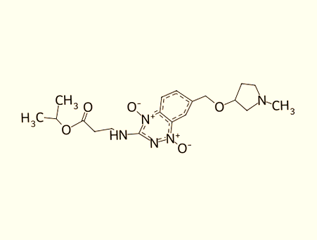 CC(C)OC(=O)CCNc1n[n+]([O-])c2cc(COC3CCN(C)C3)ccc2[n+]1[O-]